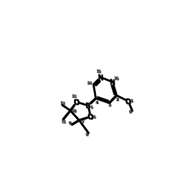 COc1cc(B2OC(C)(C)C(C)(C)O2)cnn1